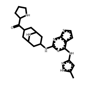 Cc1cc(Nc2nc(NC3CC4CC(C(=O)C5CCCN5)CC(C3)N4)nc3sccc23)n[nH]1